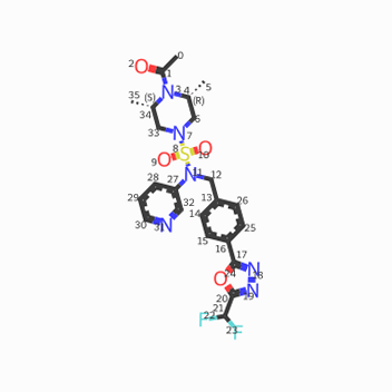 CC(=O)N1[C@H](C)CN(S(=O)(=O)N(Cc2ccc(-c3nnc(C(F)F)o3)cc2)c2cccnc2)C[C@@H]1C